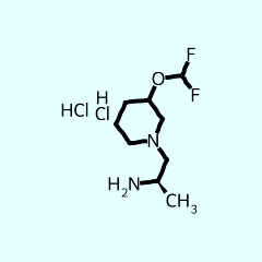 C[C@@H](N)CN1CCCC(OC(F)F)C1.Cl.Cl